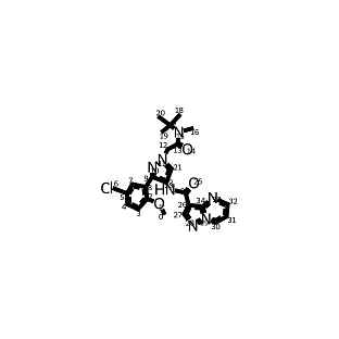 COc1ccc(Cl)cc1-c1nn(CC(=O)N(C)C(C)(C)C)cc1NC(=O)c1cnn2cccnc12